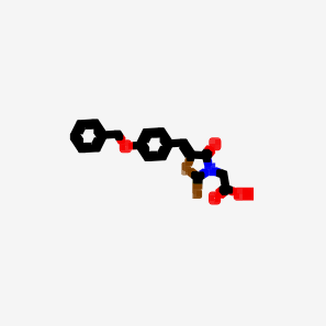 O=C(O)CN1C(=O)C(=Cc2ccc(OCc3ccccc3)cc2)SC1=S